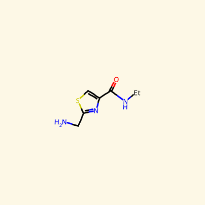 CCNC(=O)c1csc(CN)n1